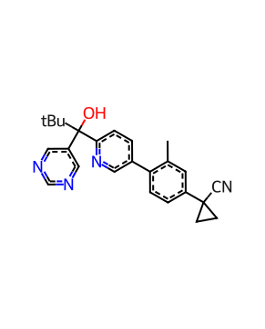 Cc1cc(C2(C#N)CC2)ccc1-c1ccc(C(O)(c2cncnc2)C(C)(C)C)nc1